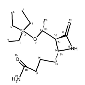 CC[Si](CC)(CC)O[C@H](C)[C@H]1C(=O)N[C@@H]1CCCC(N)=O